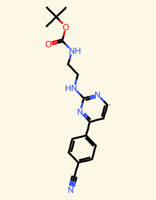 CC(C)(C)OC(=O)NCCNc1n[c]cc(-c2ccc(C#N)cc2)n1